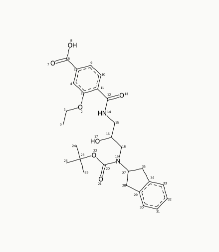 CCOc1cc(C(=O)O)ccc1C(=O)NCC(O)CN(C(=O)OC(C)(C)C)C1Cc2ccccc2C1